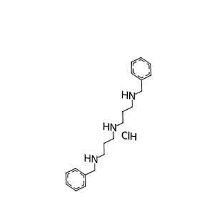 Cl.c1ccc(CNCCCNCCCNCc2ccccc2)cc1